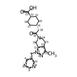 Cc1nn(Cc2cncnc2)c2c1CCN(C(=O)C[C@H]1CC[C@H](C(=O)O)CC1)C2